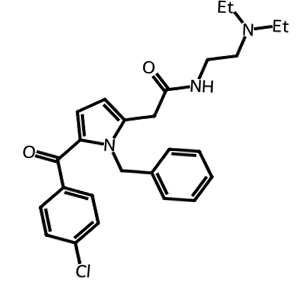 CCN(CC)CCNC(=O)Cc1ccc(C(=O)c2ccc(Cl)cc2)n1Cc1ccccc1